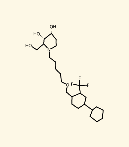 OCC1[C@H](O)[C@H](O)CCN1CCCCCOCC1CCC(C2CCCCC2)CC1C(F)(F)F